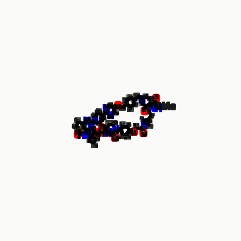 COC(=O)C1(NC(=O)CC2CN(C(=O)COc3ccc(N4CCC(=O)NC4=O)cc3)C2)CCN(Cc2ccc(COc3cnc(C4CCN(c5nc6c(c(NC7(CO)CCC7)n5)[S@+]([O-])CC6)CC4)nc3)cc2)CC1